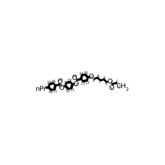 C=CC(=O)OCCCCCOc1ccc(C(=O)Oc2ccc(OC(=O)c3ccc(CCC)cc3)cc2)cc1